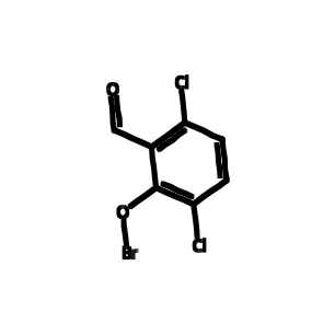 O=Cc1c(Cl)ccc(Cl)c1OBr